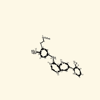 CNCCc1cc(Nc2ncnc3cc(-c4ncccc4C(F)(F)F)cnc23)ccc1C(C)(C)C